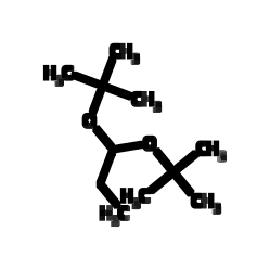 CC[C](OC(C)(C)C)OC(C)(C)C